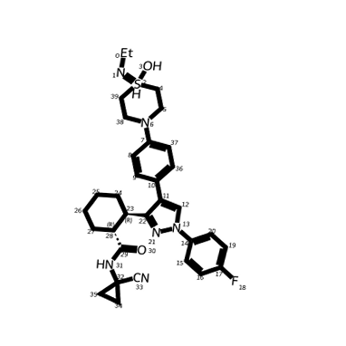 CCN=[SH]1(O)CCN(c2ccc(-c3cn(-c4ccc(F)cc4)nc3[C@@H]3CCCC[C@H]3C(=O)NC3(C#N)CC3)cc2)CC1